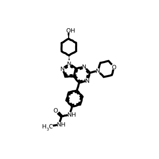 CNC(=O)Nc1ccc(-c2nc(N3CCOCC3)nc3c2cnn3[C@H]2CC[C@H](O)CC2)cc1